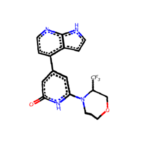 O=c1cc(-c2ccnc3[nH]ccc23)cc(N2CCOCC2C(F)(F)F)[nH]1